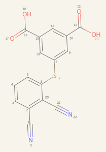 N#Cc1cccc(Sc2cc(C(=O)O)cc(C(=O)O)c2)c1C#N